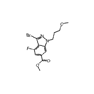 COCCCn1nc(Br)c2c(F)cc(C(=O)OC)cc21